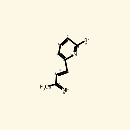 N=C(/C=C/c1cccc(Br)n1)C(F)(F)F